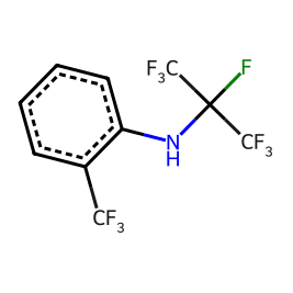 FC(F)(F)c1ccccc1NC(F)(C(F)(F)F)C(F)(F)F